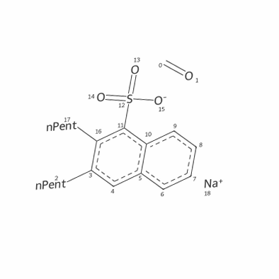 C=O.CCCCCc1cc2ccccc2c(S(=O)(=O)[O-])c1CCCCC.[Na+]